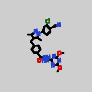 COc1nc(NNC(=O)c2ccc(Cc3c(C)nn(-c4ccc(C#N)c(Cl)c4)c3C)cc2)nc(OC)n1